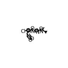 Cc1oc(-c2ccc(NC(=O)c3ccc(Cl)c(CN4CCS(=O)(=O)CC4)c3)cn2)nc1C1CC1